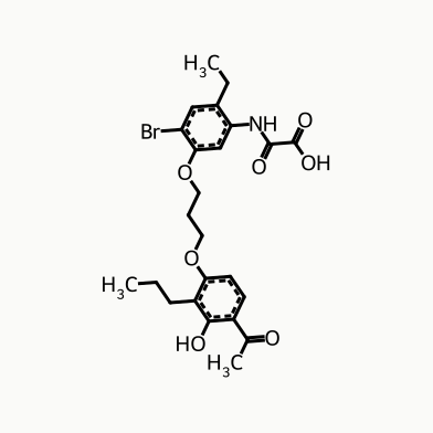 CCCc1c(OCCCOc2cc(NC(=O)C(=O)O)c(CC)cc2Br)ccc(C(C)=O)c1O